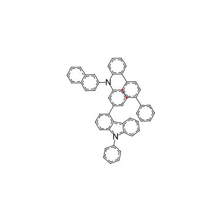 c1ccc(-c2ccc(-c3ccccc3N(c3cccc(-c4cccc5c4c4ccccc4n5-c4ccccc4)c3)c3ccc4ccccc4c3)cc2)cc1